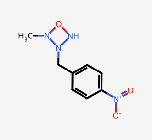 CN1ONN1Cc1ccc([N+](=O)[O-])cc1